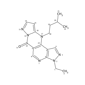 CCn1ncc2c1ncc1c(=O)n3nccc3n(CCC(C)C)c12